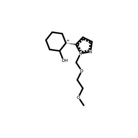 COCCOCn1nccc1[C@H]1CCCCC1O